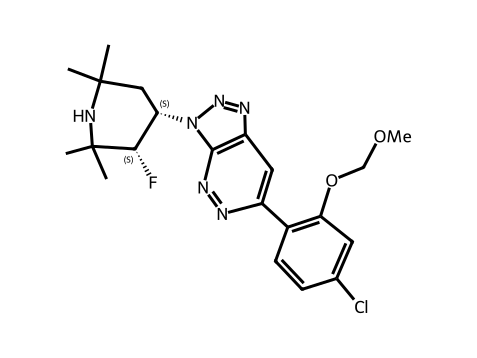 COCOc1cc(Cl)ccc1-c1cc2nnn([C@H]3CC(C)(C)NC(C)(C)[C@H]3F)c2nn1